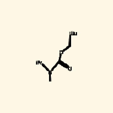 CC(C)N(C)C(=O)OCC(C)(C)C